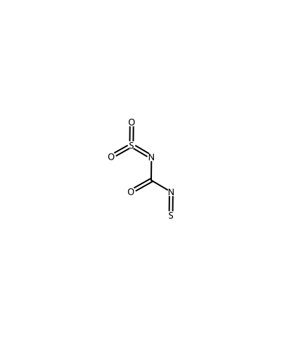 O=C(N=S)N=S(=O)=O